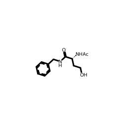 CC(=O)N[C@H](CCO)C(=O)NCc1ccccc1